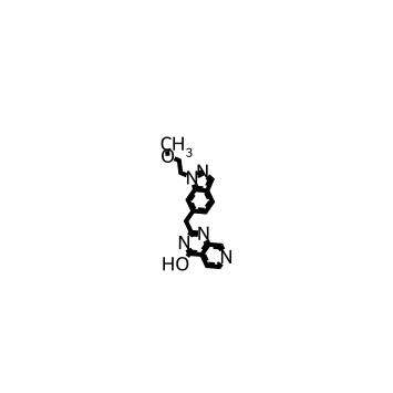 COCCn1ncc2ccc(Cc3nc(O)c4ccncc4n3)cc21